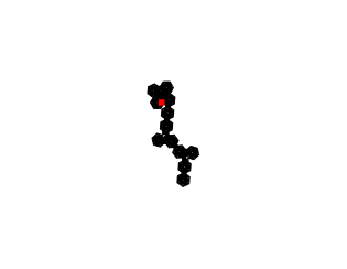 c1ccc(-c2ccc(-n3c4ccccc4c4cc(-c5ccc6c(c5)c5ccccc5n6-c5ccc(-c6ccc(-c7cccc(C8(c9ccccc9)c9ccccc9-c9ccccc98)c7)cc6)cc5)ccc43)cc2)cc1